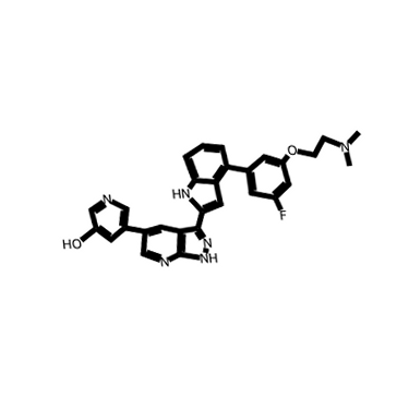 CN(C)CCOc1cc(F)cc(-c2cccc3[nH]c(-c4n[nH]c5ncc(-c6cncc(O)c6)cc45)cc23)c1